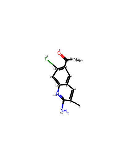 COC(=O)c1cc2cc(C)c(N)nc2cc1F